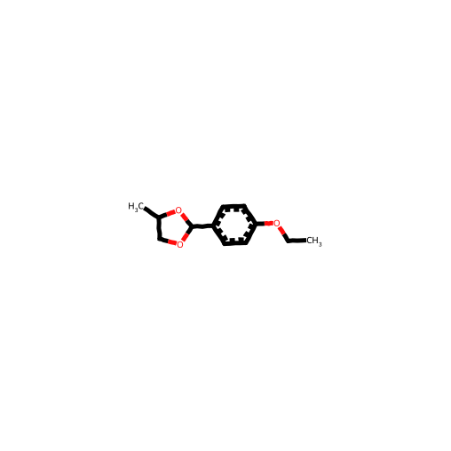 CCOc1ccc(C2OCC(C)O2)cc1